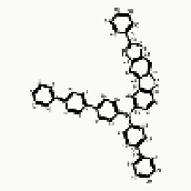 c1ccc(-c2ccc(-c3ccc(N(c4ccc(-c5ccccc5)cc4)c4ccc5oc6cc7sc(-c8ccccc8)nc7cc6c5c4)cc3)cc2)cc1